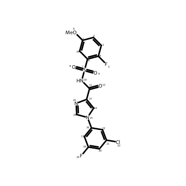 COc1ccc(F)c(S(=O)(=O)NC(=O)c2cn(-c3cc(F)cc(Cl)c3)cn2)c1